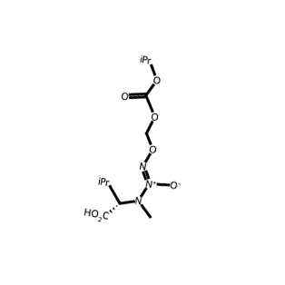 CC(C)OC(=O)OCON=[N+]([O-])N(C)[C@H](C(=O)O)C(C)C